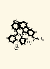 CC(C)c1ccc2c(c1)[CH]([Zr+2](=[C](c1ccccc1)c1ccccc1)[CH]1C=CC=C1)c1cc(N(C)C)ccc1-2.[Cl-].[Cl-]